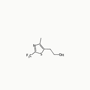 Cc1nc(C(F)(F)F)sc1CCO